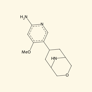 COc1cc(N)ncc1C1CC2COCC(C1)N2